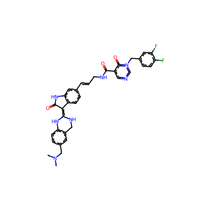 CN(C)Cc1ccc2c(c1)CNC(=C1C(=O)Nc3cc(C=CCNC(=O)c4cncn(Cc5ccc(F)c(F)c5)c4=O)ccc31)N2